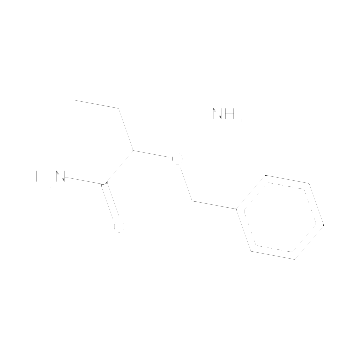 CCC(OCc1ccccc1)C(N)=O.N